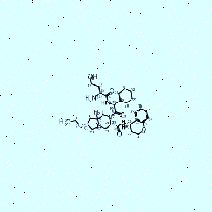 CCO[C@@H]1C[C@@H]2CN(C(=O)[C@@H](NC(=O)[C@@H](N)CCO)C3CCCCC3)[C@H](C(=O)N[C@@H]3CCOc4ccccc43)CN2C1